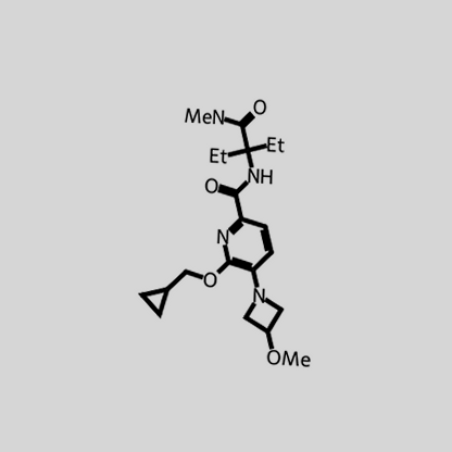 CCC(CC)(NC(=O)c1ccc(N2CC(OC)C2)c(OCC2CC2)n1)C(=O)NC